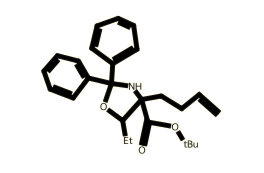 C=CCCC1(C(=O)OC(C)(C)C)NC(c2ccccc2)(c2ccccc2)OC1CC